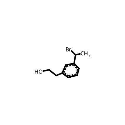 CC(Br)c1cccc(CCO)c1